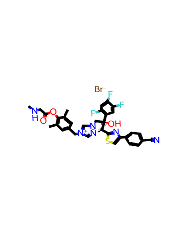 CNCC(=O)Oc1c(C)cc(C[n+]2cnn(C[C@](O)(c3cc(F)c(F)cc3F)[C@@H](C)c3nc(-c4ccc(C#N)cc4)cs3)c2)cc1C.[Br-]